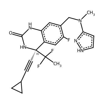 CN(Cc1cc2c(cc1F)[C@@](C#CC1CC1)(C(C)(F)F)NC(=O)N2)c1cc[nH]n1